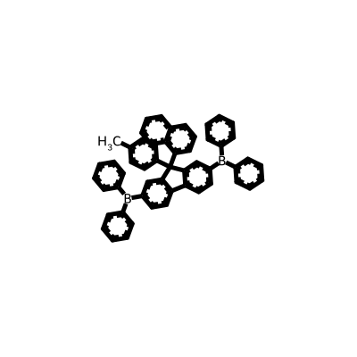 Cc1ccc(C2(c3cccc4ccccc34)c3cc(B(c4ccccc4)c4ccccc4)ccc3-c3ccc(B(c4ccccc4)c4ccccc4)cc32)cc1